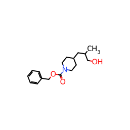 CC(CO)CC1CCN(C(=O)OCc2ccccc2)CC1